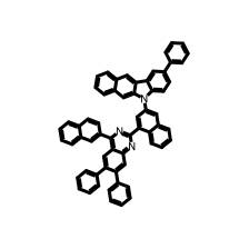 c1ccc(-c2ccc3c(c2)c2cc4ccccc4cc2n3-c2cc(-c3nc(-c4ccc5ccccc5c4)c4cc(-c5ccccc5)c(-c5ccccc5)cc4n3)c3ccccc3c2)cc1